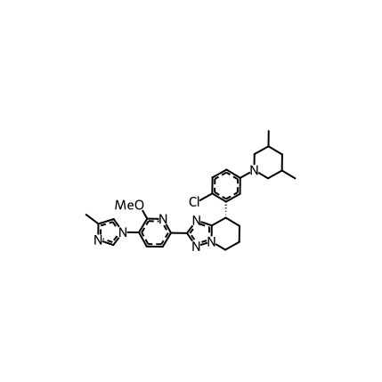 COc1nc(-c2nc3n(n2)CCC[C@H]3c2cc(N3CC(C)CC(C)C3)ccc2Cl)ccc1-n1cnc(C)c1